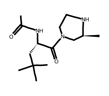 CC(=O)N[C@@H](CC(C)(C)C)C(=O)N1CCN[C@@H](C)C1